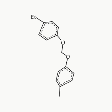 CCc1ccc(OCOc2ccc(C)cc2)cc1